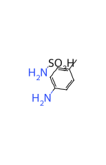 Cc1ccc(N)cc1.NS(=O)(=O)O